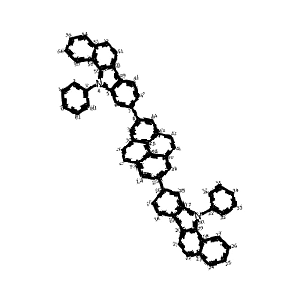 c1ccc(-n2c3cc(-c4cc5ccc6cc(-c7ccc8c9ccc%10ccccc%10c9n(-c9ccccc9)c8c7)cc7ccc(c4)c5c67)ccc3c3ccc4ccccc4c32)cc1